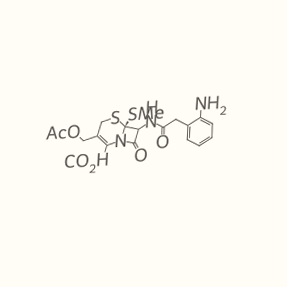 CS[C@]12SCC(COC(C)=O)=C(C(=O)O)N1C(=O)C2NC(=O)Cc1ccccc1N